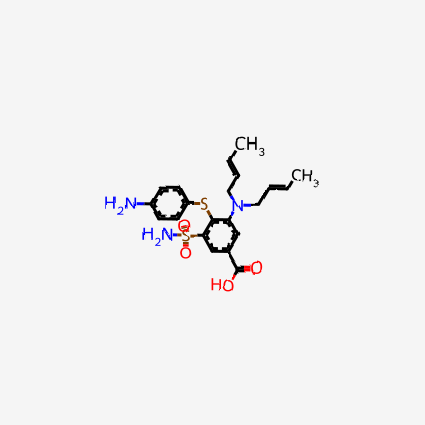 CC=CCN(CC=CC)c1cc(C(=O)O)cc(S(N)(=O)=O)c1Sc1ccc(N)cc1